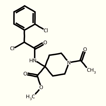 COC(=O)C1(NC(=O)C(Cl)c2ccccc2Cl)CCN(C(C)=O)CC1